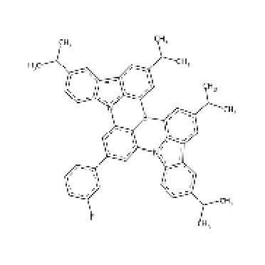 CC(C)c1ccc2c(c1)c1cc(C(C)C)cc3c1n2-c1cc(-c2cccc(F)c2)cc2c1B3c1cc(C(C)C)cc3c4cc(C(C)C)ccc4n-2c13